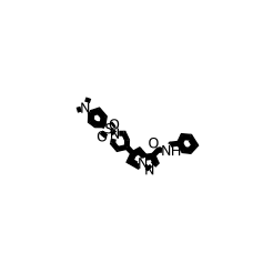 CN(C)c1ccc(S(=O)(=O)N2CCC(c3ccn4ncc(C(=O)NCc5ccccc5)c4c3)CC2)cc1